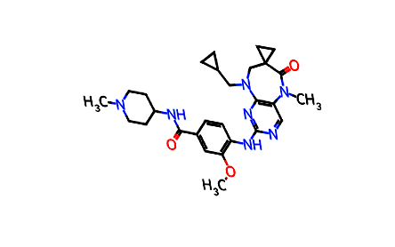 COc1cc(C(=O)NC2CCN(C)CC2)ccc1Nc1ncc2c(n1)N(CC1CC1)CC1(CC1)C(=O)N2C